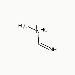 CNC=N.Cl